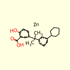 CC(C)(c1cccc(C2CCCCC2)c1)c1ccc(O)c(C(=O)O)c1.[Zn]